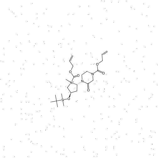 C=CCOC(=O)N1CCN([C@@H]2C[C@@H](O[Si](C)(C)C(C)(C)C)C[N+]2(C)C(=O)OCC=C)C(=O)C1